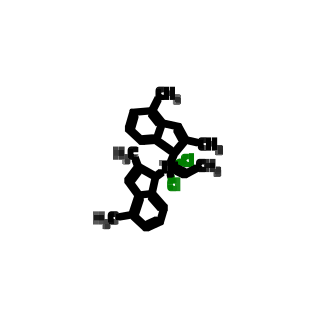 C[CH]=[Ti]([Cl])([Cl])([CH]1C(C)=Cc2c(C)cccc21)[CH]1C(C)=Cc2c(C)cccc21